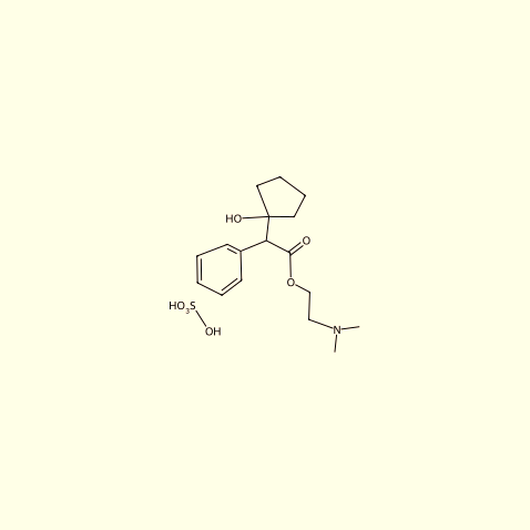 CN(C)CCOC(=O)C(c1ccccc1)C1(O)CCCC1.O=S(=O)(O)O